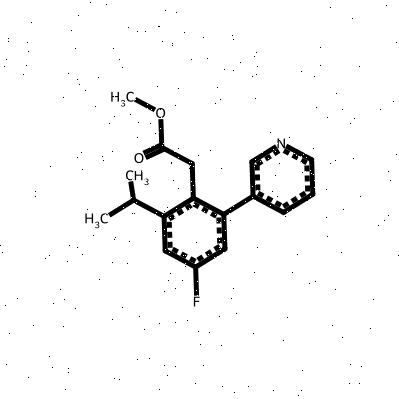 COC(=O)Cc1c(-c2cccnc2)cc(F)cc1C(C)C